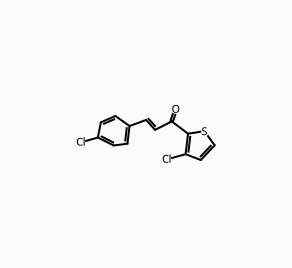 O=C(C=Cc1ccc(Cl)cc1)c1sccc1Cl